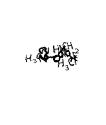 C=C(Nc1cc2cc(-c3cnn(C)c3CN3CCCCC3)ccc2cn1)c1ccc(C(C)C(F)F)cc1